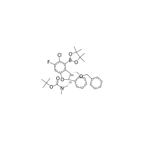 CN(C[C@]1(c2ccccc2)Oc2cc(F)c(Cl)c(B3OC(C)(C)C(C)(C)O3)c2[C@@H]1COCc1ccccc1)C(=O)OC(C)(C)C